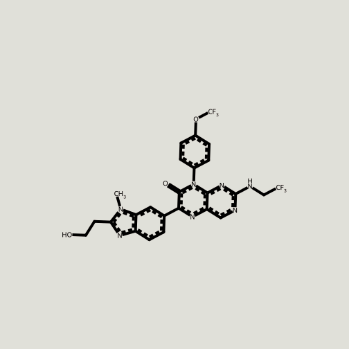 Cn1c(CCO)nc2ccc(-c3nc4cnc(NCC(F)(F)F)nc4n(-c4ccc(OC(F)(F)F)cc4)c3=O)cc21